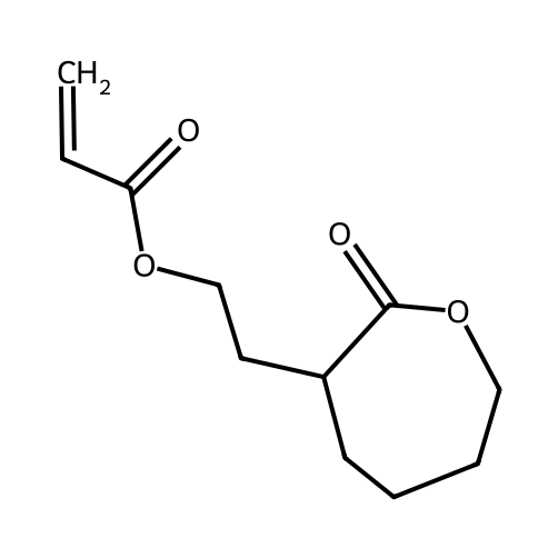 C=CC(=O)OCCC1CCCCOC1=O